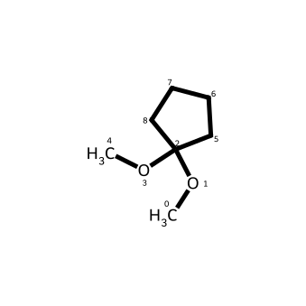 COC1(OC)CCCC1